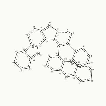 c1ccc(-c2ccc3c(c2-c2cccc4nc5ccccc5cc24)-c2c4c(ccc2=N3)=c2ccccc2=N4)cc1